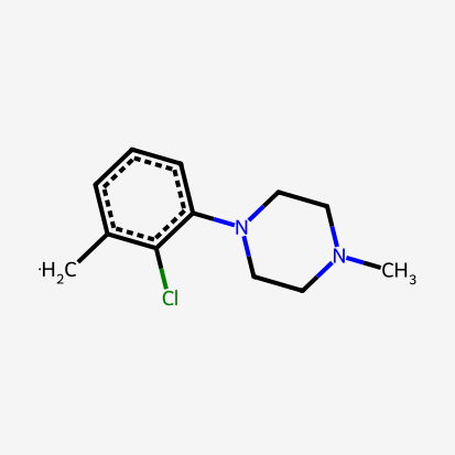 [CH2]c1cccc(N2CCN(C)CC2)c1Cl